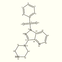 O=S(=O)(c1ccccc1)n1nc(N2CCNCC2)c2ncccc21